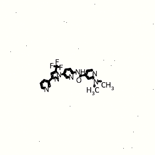 CCN(CC)c1cc(C(=O)Nc2ccc(-n3nc(-c4cccnc4)cc3C(F)(F)F)cn2)ccn1